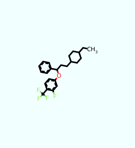 CCC1CCC(CCC(Oc2ccc(C(F)(F)F)c(F)c2)c2ccccc2)CC1